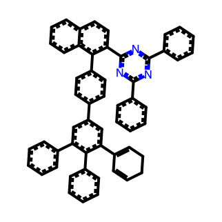 C1=CC(c2cc(-c3ccc(-c4c(-c5nc(-c6ccccc6)nc(-c6ccccc6)n5)ccc5ccccc45)cc3)cc(-c3ccccc3)c2-c2ccccc2)=CCC1